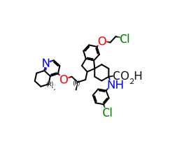 C[C@@H](COc1ccnc2c1[C@H](C)CCC2)CC1Cc2ccc(OCCCl)cc2C12CCC(Nc1cccc(Cl)c1)(C(=O)O)CC2